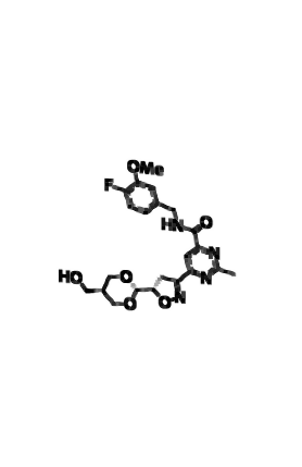 COc1cc(CNC(=O)c2cc(C3=NO[C@H]([C@H]4OC[C@H](CO)CO4)C3)nc(C)n2)ccc1F